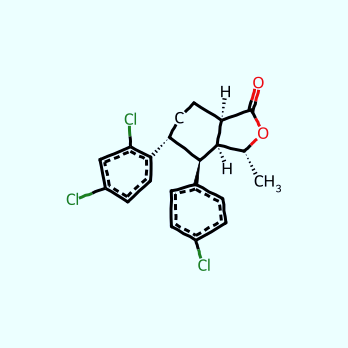 C[C@H]1OC(=O)[C@@H]2CC[C@@H](c3ccc(Cl)cc3Cl)[C@H](c3ccc(Cl)cc3)[C@H]12